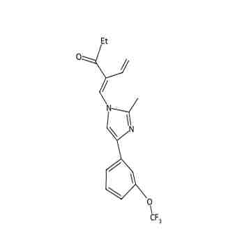 C=C/C(=C\n1cc(-c2cccc(OC(F)(F)F)c2)nc1C)C(=O)CC